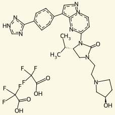 CC(C)[C@H]1CN(CCN2CC[C@@H](O)C2)C(=O)N1c1ccn2ncc(-c3ccc(-c4nc[nH]n4)cc3)c2n1.O=C(O)C(F)(F)F.O=C(O)C(F)(F)F